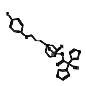 O=C(O[C@H]1C[N+]2(CCCOc3ccc(F)cc3)CCC1CC2)C(O)(c1ccsc1)c1ccsc1